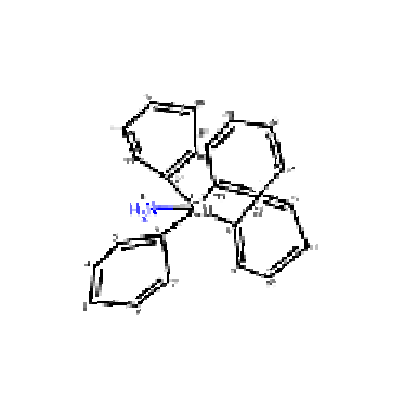 [NH2][Cu]([c]1ccccc1)([c]1ccccc1)([c]1ccccc1)[c]1ccccc1